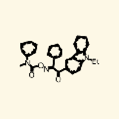 CCn1c2ccccc2c2cc(C(=O)/C(=N/OC(=O)N(C)c3ccccc3)c3ccccc3)ccc21